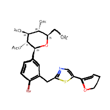 CC(=O)OC[C@H]1O[C@@H](c2ccc(Br)c(Cc3ncc(C4=CCCO4)s3)c2)[C@H](OC(C)=O)[C@@H](OC(C)=O)[C@@H]1OC(C)=O